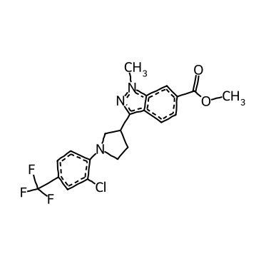 COC(=O)c1ccc2c(C3CCN(c4ccc(C(F)(F)F)cc4Cl)C3)nn(C)c2c1